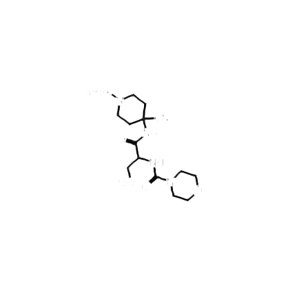 CCCCCCN1CCC(C#N)(NC(=O)C(CC(C)(C)C)NC(=O)N2CCOCC2)CC1